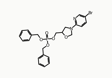 O=P(OCc1ccccc1)(OCc1ccccc1)OCC1CN(c2ccc(Br)cn2)CO1